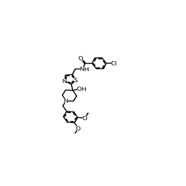 COc1ccc(CN2CCC(O)(c3ncc(CNC(=O)c4ccc(Cl)cc4)s3)CC2)cc1OC